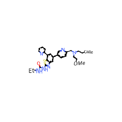 CCNC(=O)Nc1nc2cc(-c3ccc(CN(CCOC)CCOC)nc3)cc(-c3ccccn3)c2s1